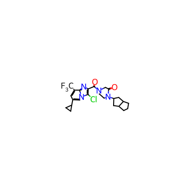 O=C(c1nc2c(C(F)(F)F)cc(C3CC3)cn2c1Cl)N1CCN(C2CC3CCCC3C2)C(=O)C1